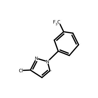 FC(F)(F)c1cccc(-n2[c]cc(Cl)n2)c1